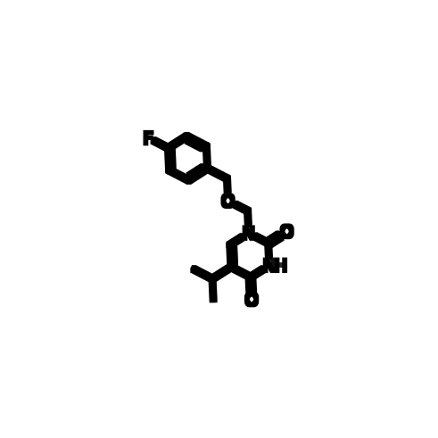 CC(C)c1cn(COCc2ccc(F)cc2)c(=O)[nH]c1=O